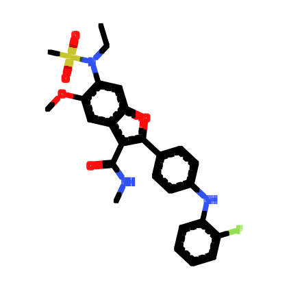 CCN(c1cc2oc(-c3ccc(Nc4ccccc4F)cc3)c(C(=O)NC)c2cc1OC)S(C)(=O)=O